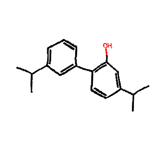 CC(C)c1cccc(-c2ccc(C(C)C)cc2O)c1